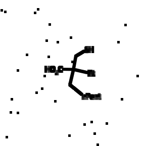 CCCCCCC(CC)(CS)C(=O)O